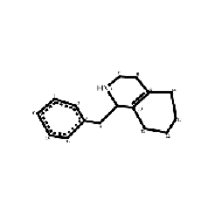 c1ccc(CC2NCCC3=C2CCCC3)cc1